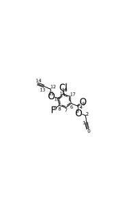 C#CCOC(=O)c1cc(F)c(OCC#C)c(Cl)c1